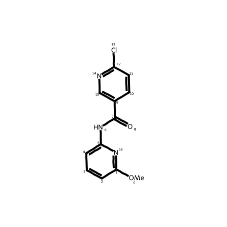 COc1cccc(NC(=O)c2ccc(Cl)nc2)n1